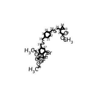 CCOOP(=O)(OOCC)C(F)(F)c1ccc(CSCc2ccc(CSCC3(CC(=O)OC)CC3)cc2)cc1Br